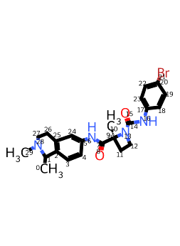 CC1c2ccc(NC(=O)[C@]3(C)CCN3C(=O)Nc3ccc(Br)cc3)cc2CCN1C